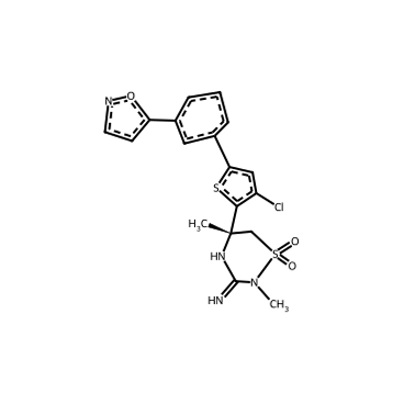 CN1C(=N)N[C@](C)(c2sc(-c3cccc(-c4ccno4)c3)cc2Cl)CS1(=O)=O